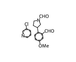 COc1ccc(C2CCN(C=O)C2)c(C=O)c1.Clc1cccnc1